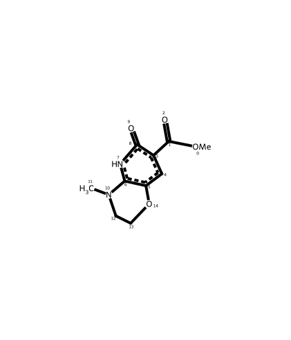 COC(=O)c1cc2c([nH]c1=O)N(C)CCO2